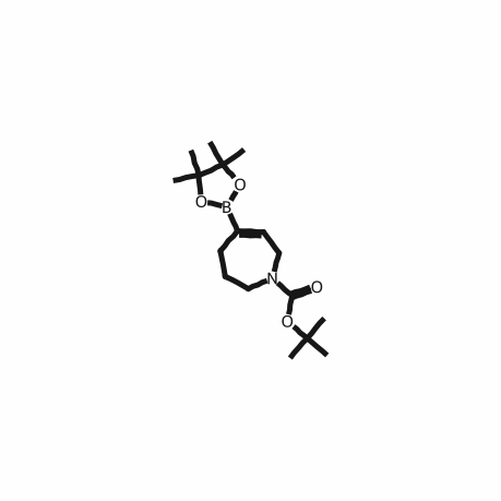 CC(C)(C)OC(=O)N1CC=C(B2OC(C)(C)C(C)(C)O2)CCC1